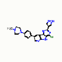 CN1CCN(c2ccc(-c3cnc4[nH]c5c(Cl)nc(-c6cn[nH]c6)nc5c4c3)cc2)CC1